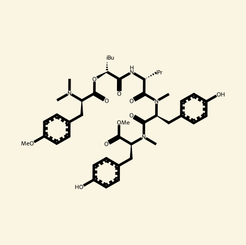 CC[C@@H](C)[C@H](OC(=O)[C@@H](Cc1ccc(OC)cc1)N(C)C)C(=O)N[C@@H](C(=O)N(C)[C@@H](Cc1ccc(O)cc1)C(=O)N(C)[C@@H](Cc1ccc(O)cc1)C(=O)OC)C(C)C